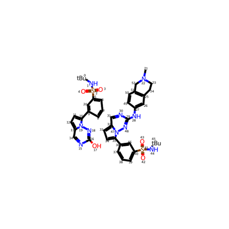 CC(C)(C)NS(=O)(=O)c1cccc(-c2ccc3cnc(O)nn23)c1.CN1CCc2cc(Nc3ncc4ccc(-c5cccc(S(=O)(=O)NC(C)(C)C)c5)n4n3)ccc2C1